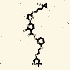 CC1(C)CC(OCCNc2cccc(SNC(=O)c3ccc(-n4ccc(OCCCC5(C(F)(F)F)CC5)n4)nc3Cl)n2)CN1